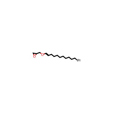 CC(C)CCCCCCCCCC=COCC1CO1